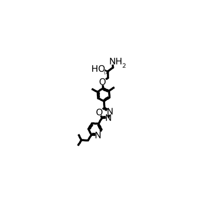 Cc1cc(-c2nnc(-c3ccc(CC(C)C)nc3)o2)cc(C)c1OC[C@@H](O)CN